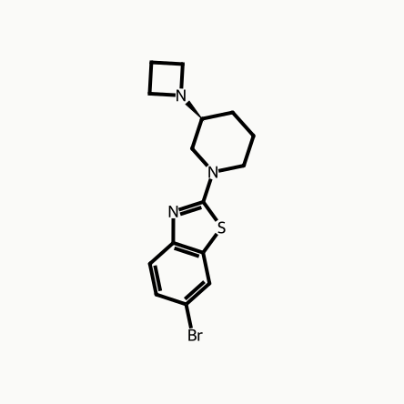 Brc1ccc2nc(N3CCC[C@H](N4CCC4)C3)sc2c1